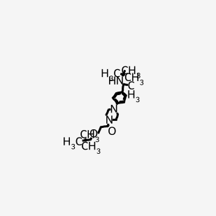 CC(NC(C)(C)C)c1ccc(N2CCN(C(=O)CCOCC(C)(C)C)CC2)cc1